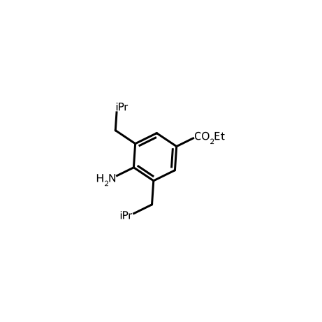 CCOC(=O)c1cc(CC(C)C)c(N)c(CC(C)C)c1